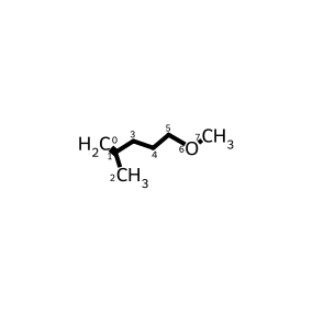 C=C(C)CCCOC